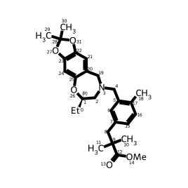 CC[C@@H]1CN(Cc2cc(CC(C)(C)C(=O)OC)ccc2C)Cc2cc3c(cc2O1)OC(C)(C)O3